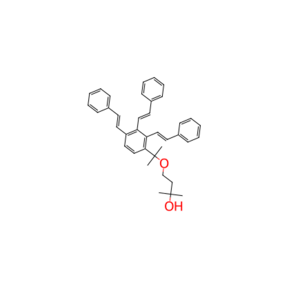 CC(C)(O)CCOC(C)(C)c1ccc(/C=C/c2ccccc2)c(/C=C/c2ccccc2)c1/C=C/c1ccccc1